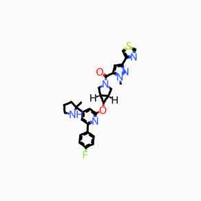 Cn1nc(-c2cscn2)cc1C(=O)N1C[C@@H]2C(Oc3cc(C4(C)CCCN4)cc(-c4ccc(F)cc4)n3)[C@@H]2C1